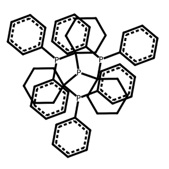 c1ccc(P(c2ccccc2)C2(P(C3(P(c4ccccc4)c4ccccc4)CCCCC3)C3(P(c4ccccc4)c4ccccc4)CCCCC3)CCCCC2)cc1